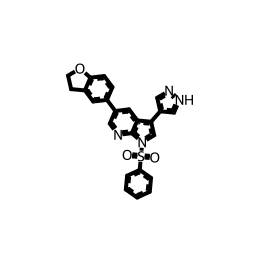 O=S(=O)(c1ccccc1)n1cc(-c2cn[nH]c2)c2cc(-c3ccc4c(c3)CCO4)cnc21